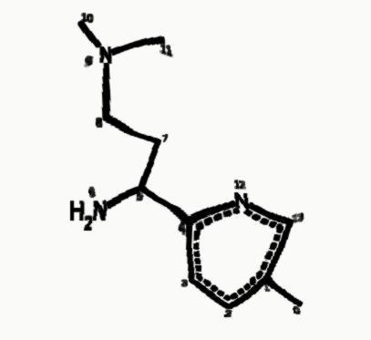 Cc1ccc(C(N)CCN(C)C)nc1